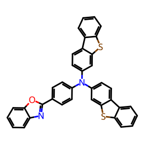 c1ccc2oc(-c3ccc(N(c4ccc5c(c4)sc4ccccc45)c4ccc5c(c4)sc4ccccc45)cc3)nc2c1